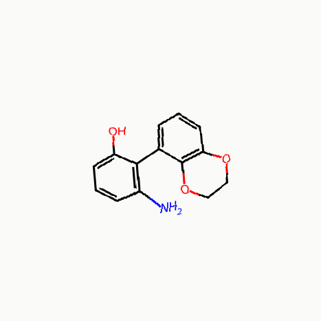 Nc1cccc(O)c1-c1cccc2c1OCCO2